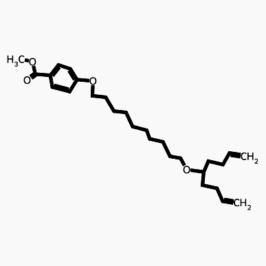 C=CCCC(CCC=C)OCCCCCCCCCCOc1ccc(C(=O)OC)cc1